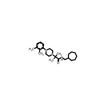 Cc1cccc(N2CCN(C(C)(C)C(=O)NCC3CCCCCC3)CC2)c1C